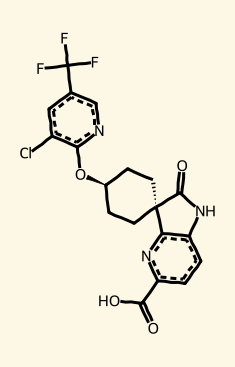 O=C(O)c1ccc2c(n1)[C@]1(CC[C@H](Oc3ncc(C(F)(F)F)cc3Cl)CC1)C(=O)N2